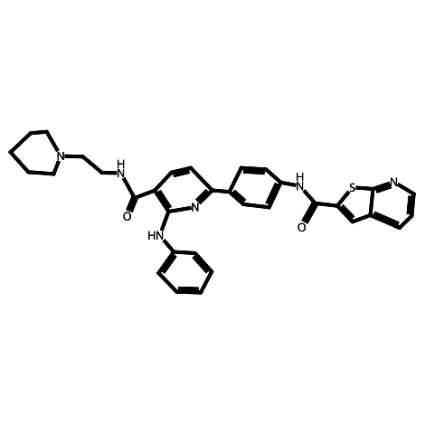 O=C(Nc1ccc(-c2ccc(C(=O)NCCN3CCCCC3)c(Nc3ccccc3)n2)cc1)c1cc2cccnc2s1